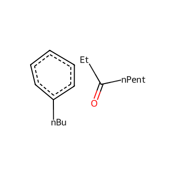 CCCCCC(=O)CC.CCCCc1ccccc1